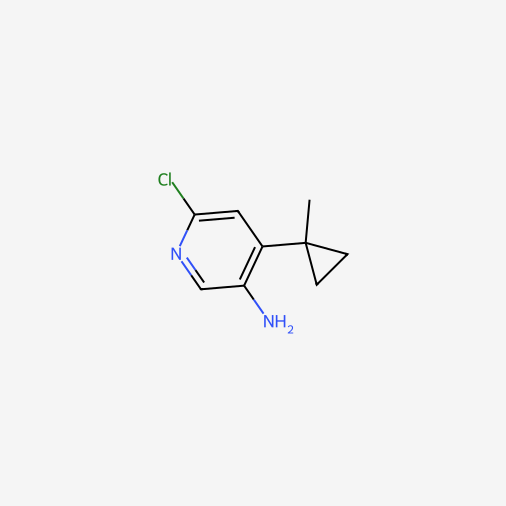 CC1(c2cc(Cl)ncc2N)CC1